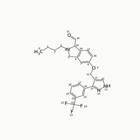 CCCCN1Cc2cc(OCc3c[nH]nc3-c3cccc(C(F)(F)F)c3)ccc2C1C=O